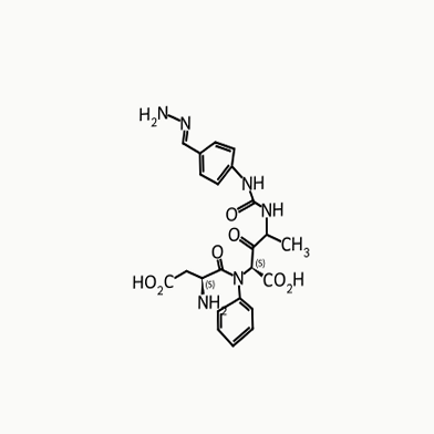 CC(NC(=O)Nc1ccc(C=NN)cc1)C(=O)[C@@H](C(=O)O)N(C(=O)[C@@H](N)CC(=O)O)c1ccccc1